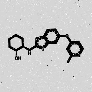 Cc1cc(Oc2ccc3nc(N[C@@H]4CCCC[C@H]4O)sc3c2)ccn1